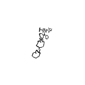 C[Si](C)(C)NC(=O)ON1CCC(N2CCCCC2)CC1